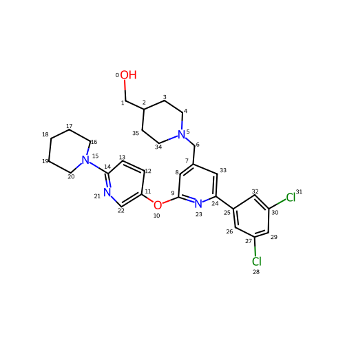 OCC1CCN(Cc2cc(Oc3ccc(N4CCCCC4)nc3)nc(-c3cc(Cl)cc(Cl)c3)c2)CC1